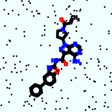 C=CC(=O)N1CCC(n2nc(C(=O)Nc3nc4cc(-c5ccccc5)ccc4o3)c3c(N)ncnc32)C1